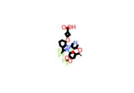 C[C@H](Oc1cncc(-n2nc(C(F)(F)F)c3c2[C@@H](OC24CC(C(=O)O)(C2)C4)CCC3)c1)c1cc2c(cc1F)OC(F)(F)O2